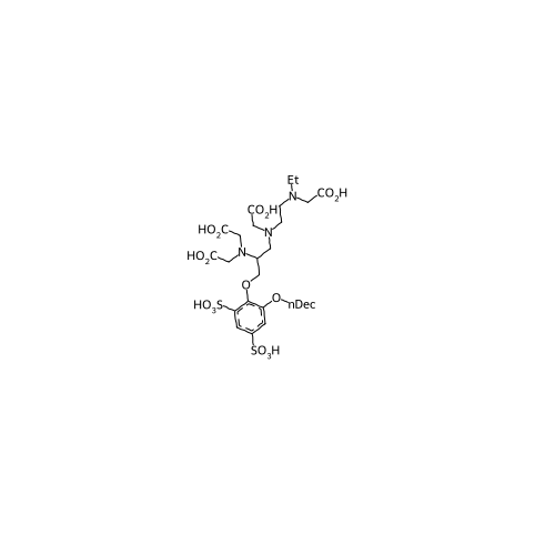 CCCCCCCCCCOc1cc(S(=O)(=O)O)cc(S(=O)(=O)O)c1OCC(CN(CCN(CC)CC(=O)O)CC(=O)O)N(CC(=O)O)CC(=O)O